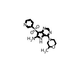 CC1CN(c2ncnc3c(S(=O)(=O)c4cccnc4)c(N)[nH]c23)CCO1